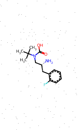 CC(C)(C)N(C[C@H](N)Cc1ccccc1F)C(=O)O